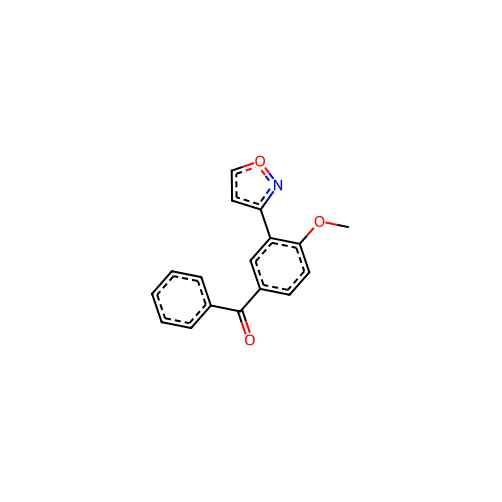 COc1ccc(C(=O)c2ccccc2)cc1-c1ccon1